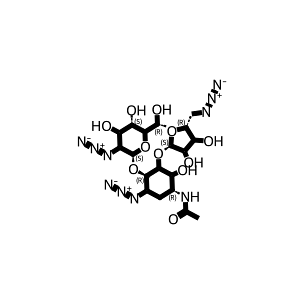 CC(=O)N[C@@H]1CC(N=[N+]=[N-])[C@@H](O[C@H]2OC([C@@H](C)O)[C@@H](O)C(O)C2N=[N+]=[N-])C(O[C@@H]2O[C@H](CN=[N+]=[N-])C(O)C2O)C1O